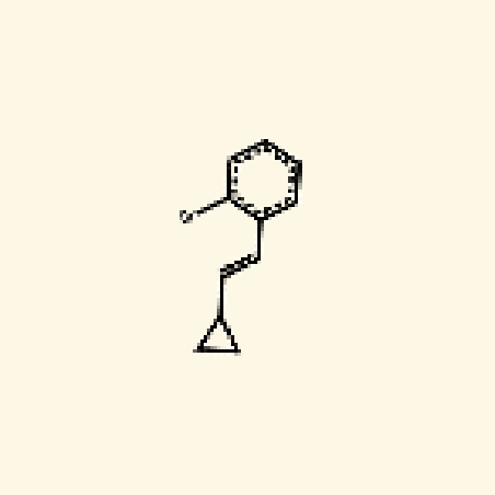 Brc1ccccc1C=CC1CC1